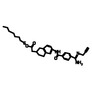 C#CCN=C(N)c1ccc(C(=O)Nc2ccc3c(c2)CCC(CC(=O)OCCCCCCCC)C3)cc1